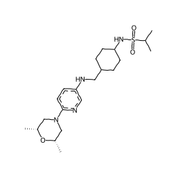 CC(C)S(=O)(=O)NC1CCC(CNc2ccc(N3C[C@@H](C)O[C@@H](C)C3)nc2)CC1